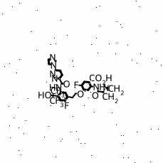 C=NC(=C)C(=O)Nc1cc(OCCc2cc(NC(=O)c3ccc(-n4ccnc4)nn3)c(C(O)(C(F)(F)F)C(F)(F)F)cc2F)c(F)cc1C(=O)O